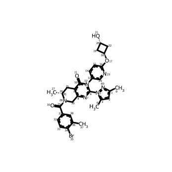 Cc1cc(C)n(-c2nc3c(c(=O)n2-c2ccc(O[C@H]4C[C@H](O)C4)nc2)C[C@@H](C)N(C(=O)c2ccc(Br)c(C)c2)C3)n1